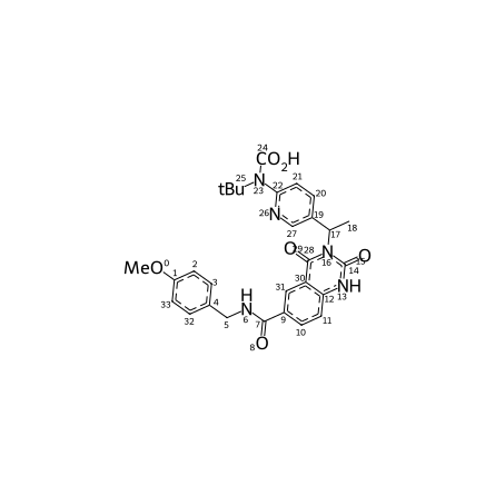 COc1ccc(CNC(=O)c2ccc3[nH]c(=O)n(C(C)c4ccc(N(C(=O)O)C(C)(C)C)nc4)c(=O)c3c2)cc1